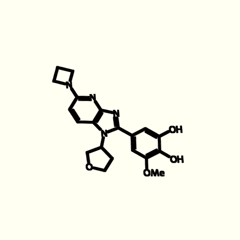 COc1cc(-c2nc3nc(N4CCC4)ccc3n2C2CCOC2)cc(O)c1O